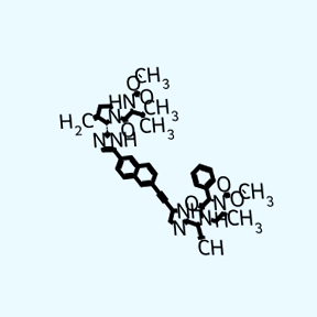 C#CC(C1=NCC(C#Cc2ccc3cc(-c4cnc([C@@H]5C(=C)CCN5C(=O)[C@@H](NC(=O)OC)C(C)C)[nH]4)ccc3c2)N1)N(CCC)C(=O)[C@H](NC(=O)OC)c1ccccc1